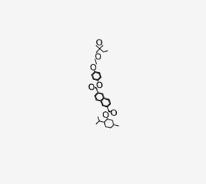 CCC1(COCCOc2ccc(OC(=O)c3ccc4cc(C(=O)OC5CC(C)CCC5C(C)C)ccc4c3)cc2)COC1